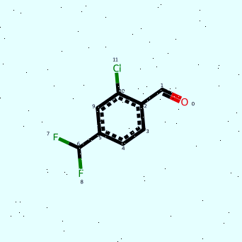 O=Cc1ccc(C(F)F)cc1Cl